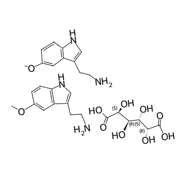 COc1ccc2[nH]cc(CCN)c2c1.COc1ccc2[nH]cc(CCN)c2c1.O=C(O)[C@@H](O)[C@H](O)[C@H](O)[C@@H](O)C(=O)O